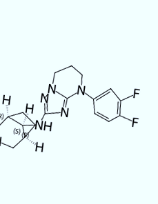 Fc1ccc(N2CCCn3nc(N[C@@H]4[C@@H]5CC[C@H]4CNC5)nc32)cc1F